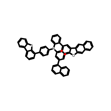 c1cc(-c2cccc3ccccc23)cc(N(c2ccc(-c3cccc4c3sc3ccccc34)cc2)c2ccccc2-c2ccc3oc4cc5ccccc5cc4c3c2)c1